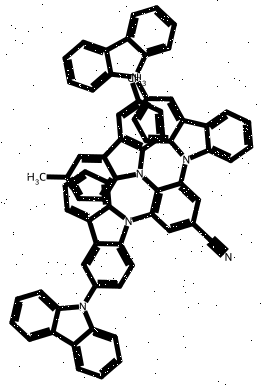 Cc1ccc2c(c1)c1cc(C)ccc1n2-c1c(-n2c3ccccc3c3cc(-n4c5ccccc5c5ccccc54)ccc32)cc(C#N)cc1-n1c2ccccc2c2cc(-n3c4ccccc4c4ccccc43)ccc21